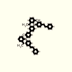 CCc1cccc(C)c1N(c1ccc(/C=C/c2ccccc2)cc1)c1ccc(-c2ccc(N(c3ccc(CCc4ccccc4)cc3)c3c(C)cccc3CC)cc2)cc1